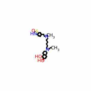 CCCN(CCCCCCN(C)CCc1ccc2[nH]c(=O)sc2c1)C1CCc2c(ccc(O)c2O)C1